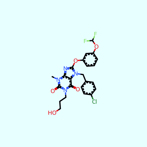 Cn1c(=O)n(CCCO)c(=O)c2c1nc(Oc1cccc(OC(F)F)c1)n2Cc1ccc(Cl)cc1